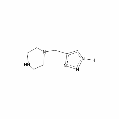 In1cc(CN2CCNCC2)nn1